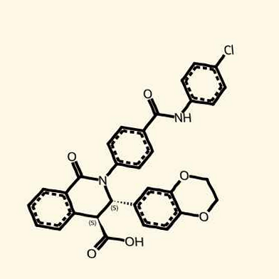 O=C(Nc1ccc(Cl)cc1)c1ccc(N2C(=O)c3ccccc3[C@H](C(=O)O)[C@H]2c2ccc3c(c2)OCCO3)cc1